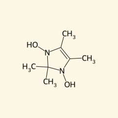 CC1=C(C)N(O)C(C)(C)N1O